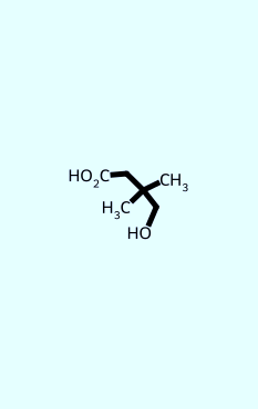 CC(C)(CO)CC(=O)O